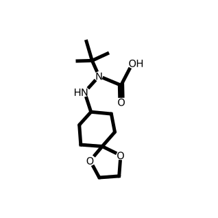 CC(C)(C)N(NC1CCC2(CC1)OCCO2)C(=O)O